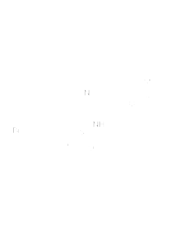 CC(=O)OCC1=Nc2ccc(Br)cc2S(=O)(=O)N1